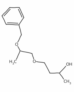 CC(O)CCOCC(C)OCc1ccccc1